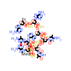 CC[C@H]1O[C@@H](n2cnc3c(N)ncnc32)C[C@H]1OP(=O)(S)OC[C@H]1O[C@@H](n2cnc3c(N)ncnc32)C[C@H]1OP(=O)(S)OC[C@H]1O[C@@H](n2cnc3c(N)ncnc32)C[C@H]1OP(=O)(S)OC[C@H]1O[C@@H](n2cc(C)c(N)nc2=O)C[C@H]1OP(=O)(S)OC[C@H]1O[C@@H](n2cc(C)c(=O)[nH]c2=O)C[C@H]1OP(=O)(S)OC[C@H]1O[C@@H](n2cc(C)c(N)nc2=O)C[C@H]1OP(=O)(S)OC[C@H]1O[C@@H](n2cnc3c(N)ncnc32)C[C@H]1OP(=O)(S)OC